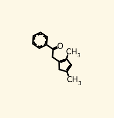 CC1=CC(C)=C(CC(=O)c2ccccc2)C1